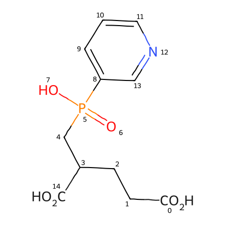 O=C(O)CCC(CP(=O)(O)c1cccnc1)C(=O)O